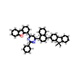 CC1(C)c2ccccc2-c2ccc(-c3ccc(-c4cc(-c5cccc6c5oc5ccccc56)nc(-c5ccccc5)n4)c4ccccc34)cc21